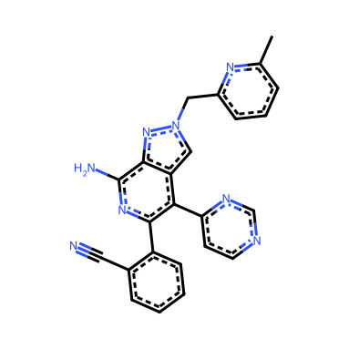 Cc1cccc(Cn2cc3c(-c4ccncn4)c(-c4ccccc4C#N)nc(N)c3n2)n1